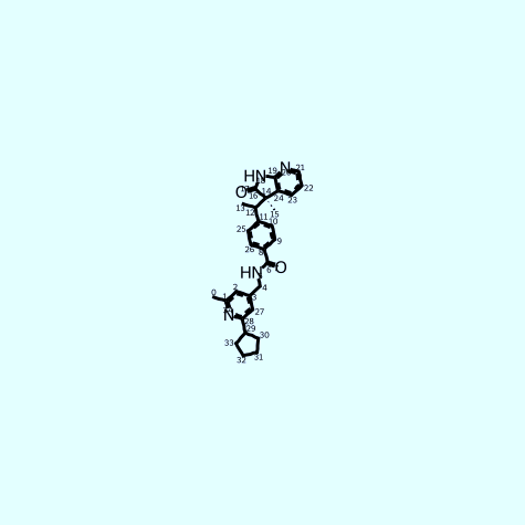 Cc1cc(CNC(=O)c2ccc(C(C)[C@@]3(C)C(=O)Nc4ncccc43)cc2)cc(C2CCCC2)n1